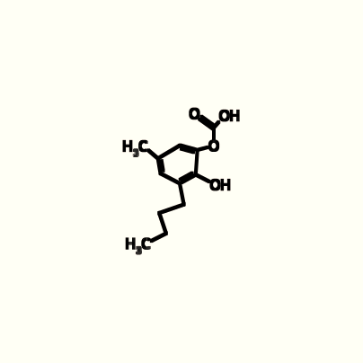 CCCCc1cc(C)cc(OC(=O)O)c1O